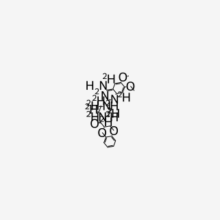 [2H]c1c(OC)c(OC)c([2H])c2c(N)nc(N3C([2H])([2H])C([2H])([2H])N(C(=O)C4COc5ccccc5O4)C([2H])([2H])C3([2H])[2H])nc12